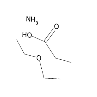 CCC(=O)O.CCOCC.N